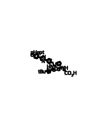 CCCCCCCOc1ccc(-c2cnc(-c3ccc(C[C@H](NC(=O)c4ccc(C(C)(C)C)s4)C(=O)N4CCC[C@H]4C(=O)NCCC(=O)O)cc3)nc2)cc1